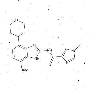 COc1ccc(C2CCOCC2)c2nc(NC(=O)c3cn(C)cn3)[nH]c12